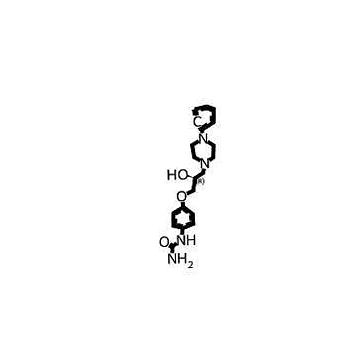 NC(=O)Nc1ccc(OC[C@H](O)CN2CCN(c3ccccc3)CC2)cc1